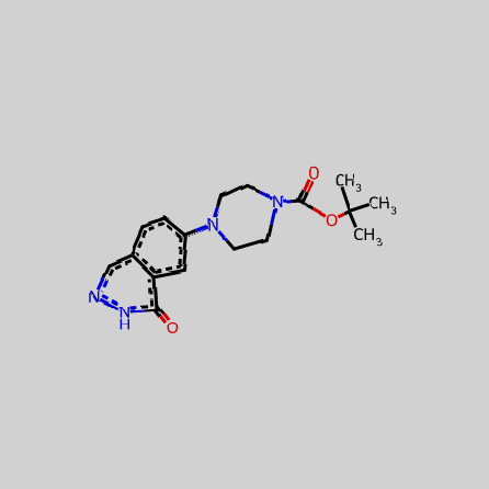 CC(C)(C)OC(=O)N1CCN(c2ccc3cn[nH]c(=O)c3c2)CC1